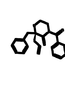 C=CC[C@]1(Cc2ccccc2)OCCN(C(=O)c2ccccc2)C1=O